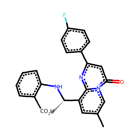 Cc1cc([C@H](C)Nc2ccccc2C(=O)O)c2nc(-c3ccc(F)cc3)cc(=O)n2c1